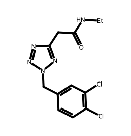 CCNC(=O)Cc1nnn(Cc2ccc(Cl)c(Cl)c2)n1